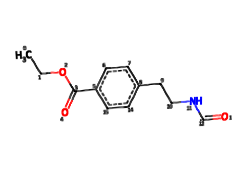 CCOC(=O)c1ccc(CCN[C]=O)cc1